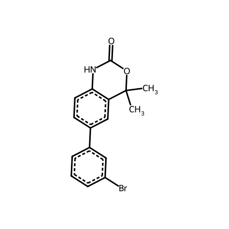 CC1(C)OC(=O)Nc2ccc(-c3cccc(Br)c3)cc21